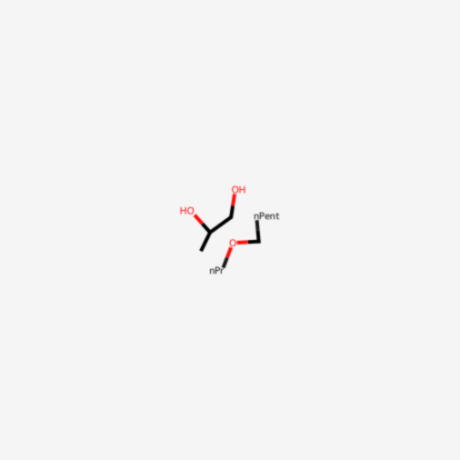 CC(O)CO.CCCCCCOCCC